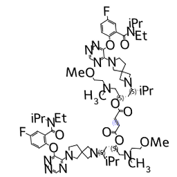 CCN(C(=O)c1cc(F)ccc1Oc1nncnc1N1CCC2(C1)CN([C@@H](C[C@@H](CN(C)CCOC)OC(=O)/C=C/C(=O)O[C@@H](C[C@@H](C(C)C)N1CC3(CCN(c4ncnnc4Oc4ccc(F)cc4C(=O)N(CC)C(C)C)C3)C1)CN(C)CCOC)C(C)C)C2)C(C)C